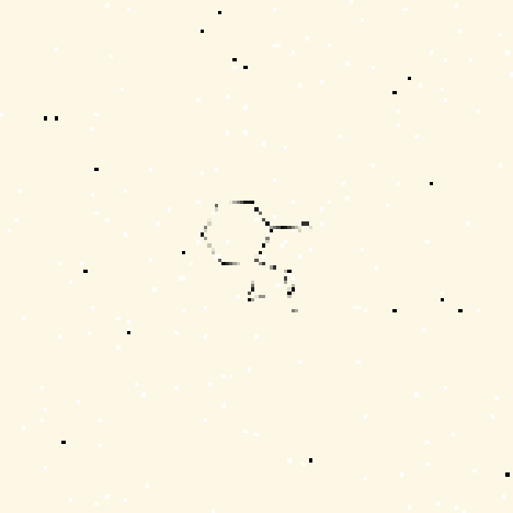 O=CC1(O)CCCCC1=O